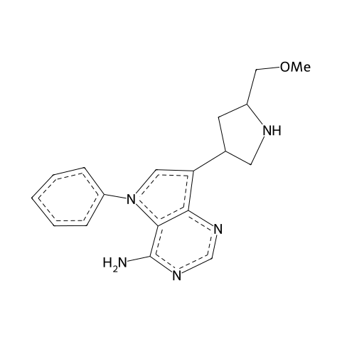 COCC1CC(c2cn(-c3ccccc3)c3c(N)ncnc23)CN1